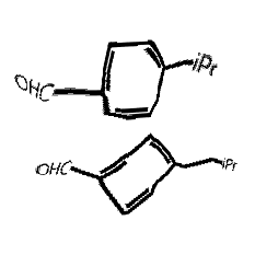 CC(C)c1ccc(C=O)cc1.CC(C)c1ccc(C=O)cc1